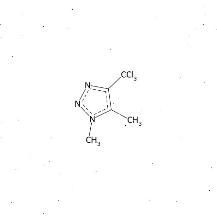 Cc1c(C(Cl)(Cl)Cl)nnn1C